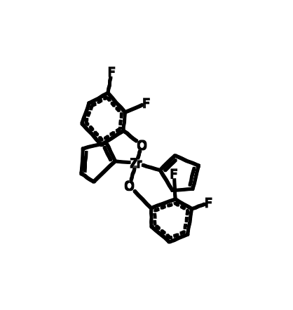 Fc1cccc([O][Zr]([O]c2cccc(F)c2F)([C]2=CC=CC2)[C]2=CC=CC2)c1F